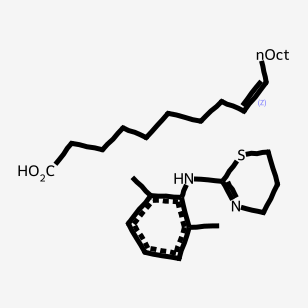 CCCCCCCC/C=C\CCCCCCCC(=O)O.Cc1cccc(C)c1NC1=NCCCS1